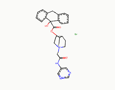 O=C(C[N+]12CCC(CC1)C(OC(=O)C1(O)c3ccccc3Cc3ccccc31)C2)Nc1cncnc1.[Br-]